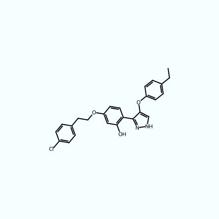 CCc1ccc(Oc2c[nH]nc2-c2ccc(OCCc3ccc(Cl)cc3)cc2O)cc1